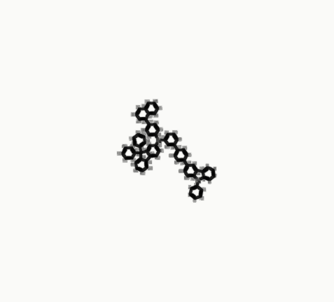 c1ccc(-n2c3ccccc3c3cc(-c4ccc(-c5cccc(N(c6ccc(-c7cccc8ccccc78)cc6)c6ccc7c(c6)C(c6ccccc6)(c6ccccc6)c6ccccc6-7)c5)cc4)ccc32)cc1